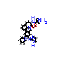 CC(C)(N)C(=O)N[C@@H]1CCc2ccccc2N(Cc2ccc(-c3ccccc3)c(Nc3ncc[nH]3)c2)C1=O